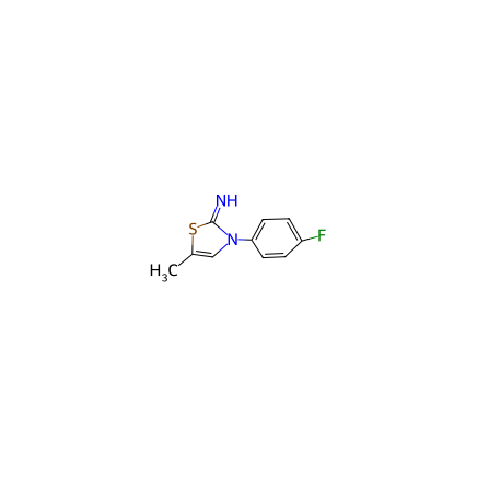 Cc1cn(-c2ccc(F)cc2)c(=N)s1